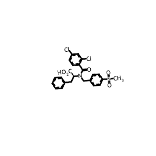 CS(=O)(=O)c1ccc(CN(C(=O)c2ccc(Cl)cc2Cl)[C@@H](Cc2ccccc2)C(=O)O)cc1